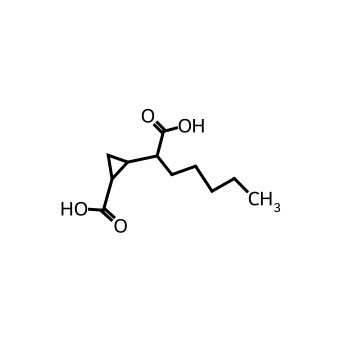 CCCCCC(C(=O)O)C1CC1C(=O)O